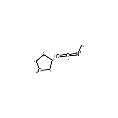 C1CCOC1.CN=C=O